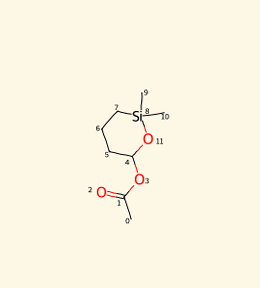 CC(=O)OC1CCC[Si](C)(C)O1